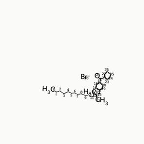 CCCCCCCCCCCC[N+](C)(C)Cc1ccc(C(=O)c2ccccc2)cc1.[Br-]